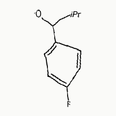 CC(C)C([O])c1ccc(F)cc1